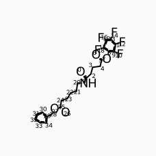 O=C(CCCC(=O)Oc1c(F)c(F)c(F)c(F)c1F)NCCCCCC(=O)OCc1ccccc1